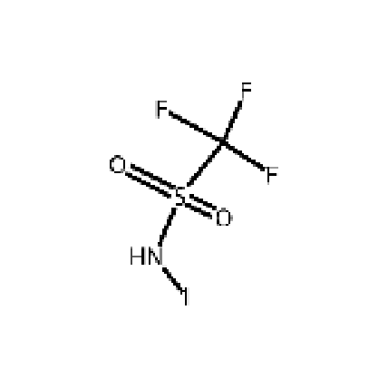 O=S(=O)(NI)C(F)(F)F